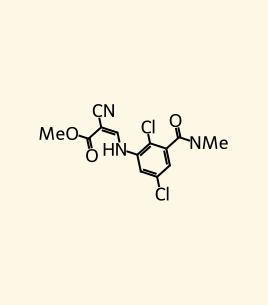 CNC(=O)c1cc(Cl)cc(NC=C(C#N)C(=O)OC)c1Cl